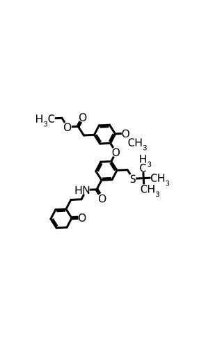 CCOC(=O)Cc1ccc(OC)c(Oc2ccc(C(=O)NCCC3=CC=CCC3=O)cc2CSC(C)(C)C)c1